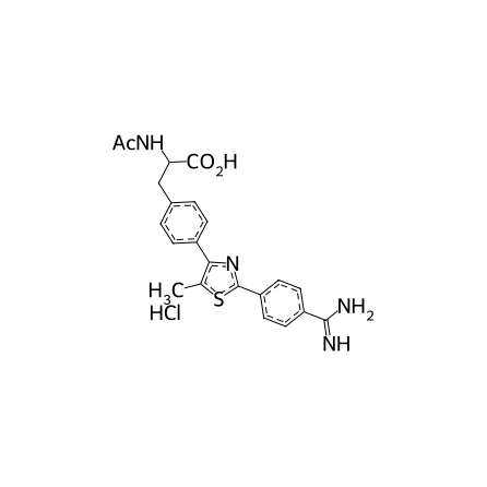 CC(=O)NC(Cc1ccc(-c2nc(-c3ccc(C(=N)N)cc3)sc2C)cc1)C(=O)O.Cl